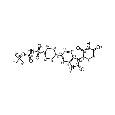 Cn1c(=O)n(C2CCC(=O)NC2=O)c2ccc(C3CCN(S(=O)(=O)NC(=O)OC(C)(C)C)CC3)cc21